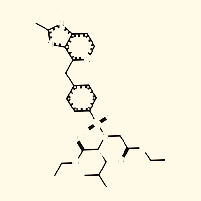 CCOC(=O)CN([C@@H](CC(C)C)C(=O)OCC)S(=O)(=O)c1ccc(Cc2nccc3[nH]c(C)nc23)cc1